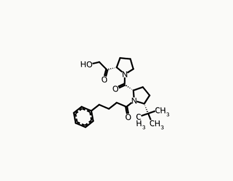 CC(C)(C)[C@H]1CC[C@@H](C(=O)N2CCC[C@H]2C(=O)CO)N1C(=O)CCCc1ccccc1